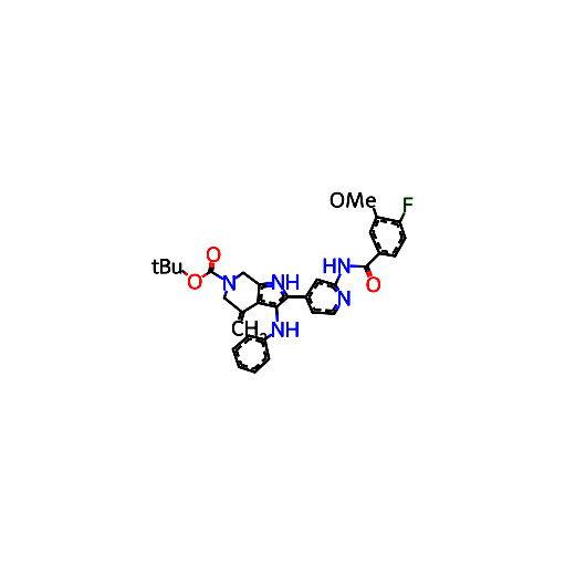 C=C1CN(C(=O)OC(C)(C)C)Cc2[nH]c(-c3ccnc(NC(=O)c4ccc(F)c(OC)c4)c3)c(Nc3ccccc3)c21